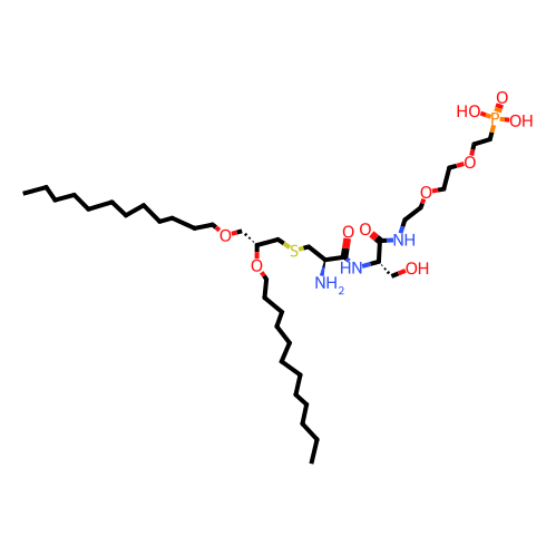 CCCCCCCCCCCCOC[C@H](CSC[C@H](N)C(=O)N[C@@H](CO)C(=O)NCCOCCOCCP(=O)(O)O)OCCCCCCCCCCCC